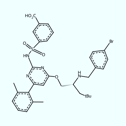 Cc1cccc(C)c1-c1cc(OC[C@@H](CC(C)(C)C)NCc2ccc(Br)cc2)nc(NS(=O)(=O)c2cccc(C(=O)O)c2)n1